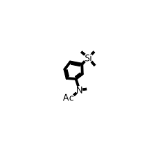 CC(=O)N(C)c1cccc([Si](C)(C)C)c1